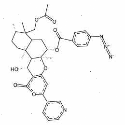 CC(=O)OCC1(C)C2C[C@H](OC(=O)c3ccc(N=[N+]=[N-])cc3)[C@@]3(C)Oc4cc(-c5cccnc5)oc(=O)c4[C@H](O)C3[C@@]2(C)CC[C@@H]1C